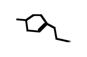 [CH2]CCC1=CCC(C)CC1